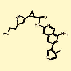 COCCn1cc(C2CC2C(=O)Nc2cc3cc(-c4cnccc4C)nc(N)c3cn2)cn1